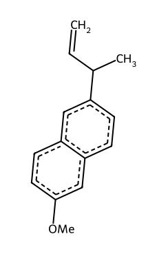 C=CC(C)c1ccc2cc(OC)ccc2c1